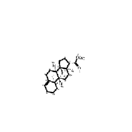 COC(=O)[C@H]1CC[C@H]2[C@@H]3CCC4=CCCC[C@]4(C)[C@H]3CC[C@]12C